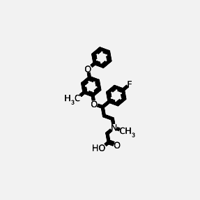 Cc1cc(Oc2ccccc2)ccc1OC(CCN(C)CC(=O)O)c1ccc(F)cc1